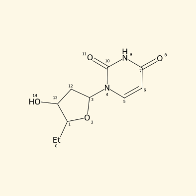 CCC1OC(n2ccc(=O)[nH]c2=O)CC1O